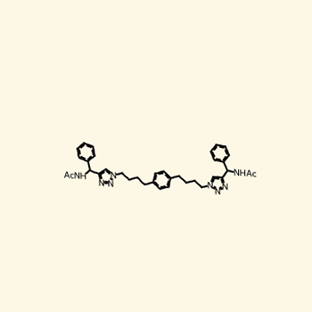 CC(=O)NC(c1ccccc1)c1cn(CCCCc2ccc(CCCCn3cc(C(NC(C)=O)c4ccccc4)nn3)cc2)nn1